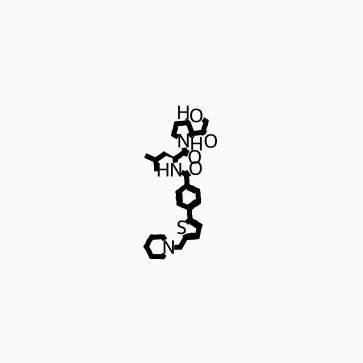 CC(C)C[C@H](NC(=O)c1ccc(-c2ccc(CN3CCCCC3)s2)cc1)C(=O)N1CC[C@H]2OCC(=O)[C@H]21